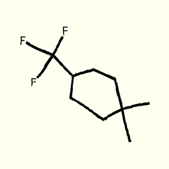 CC1(C)[CH]CC(C(F)(F)F)CC1